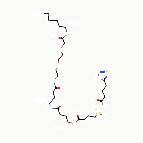 CC(=O)NCCCC[C@H](NC(=O)COCCOCCNC(=O)CC[C@H](NC(=O)CC[C@H](NC(=O)CCCS(=O)(=O)NC(=O)CCCc1nnn[nH]1)C(=O)O)C(=O)O)C(=O)O